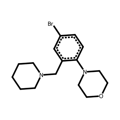 Brc1ccc(N2CCOCC2)c(CN2CCCCC2)c1